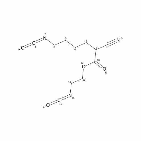 N#CC(CCCCN=C=O)C(=O)OCCN=C=O